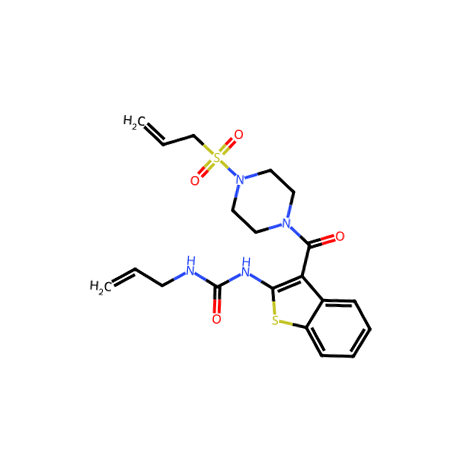 C=CCNC(=O)Nc1sc2ccccc2c1C(=O)N1CCN(S(=O)(=O)CC=C)CC1